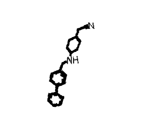 N#CCC1CCC(NCc2ccc(-c3ccccc3)cc2)CC1